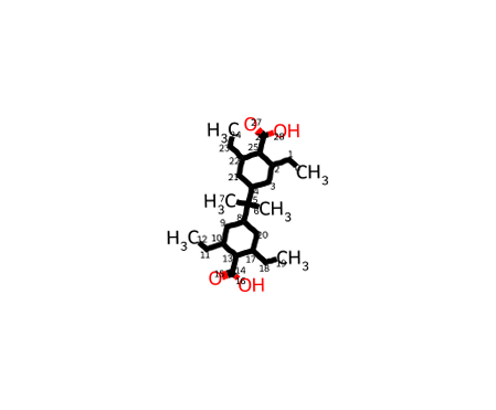 CCC1CC(C(C)(C)C2CC(CC)C(C(=O)O)C(CC)C2)CC(CC)C1C(=O)O